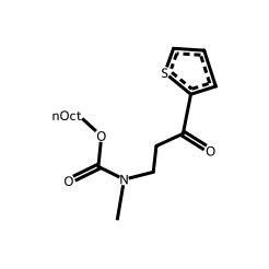 CCCCCCCCOC(=O)N(C)CCC(=O)c1cccs1